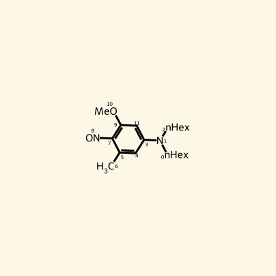 CCCCCCN(CCCCCC)c1cc(C)c(N=O)c(OC)c1